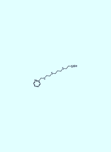 CSCCSCCCSCCSCc1ccccn1